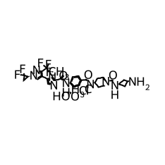 CN(C(=O)c1ccc(NC(=O)c2ncc(-c3cn([C@@H]4CC4(F)F)nc3C(F)(F)F)n2C)cc1Cl)C1CCN(C(=O)NC2CC(N)C2)CC1.O=CO